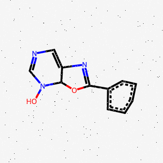 ON1C=NC=C2N=C(c3ccccc3)OC21